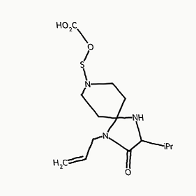 C=CCN1C(=O)C(C(C)C)NC12CCN(SOC(=O)O)CC2